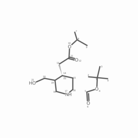 CC(C)(C)OC=O.CC(C)OC(=O)C[C@@H]1CCNCC1CO